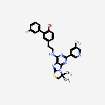 Cc1cncc(-c2nc(NCCc3ccc(O)c(-c4cccc(F)c4)c3)c3nc4n(c3n2)C(C)(C)CS4)c1